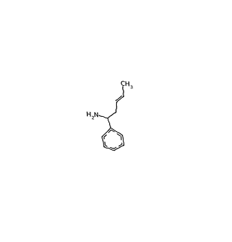 CC=CCC(N)c1ccccc1